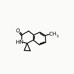 Cc1ccc2c(c1)CC(=O)NC21CC1